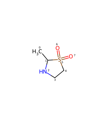 CC1NCCS1(=O)=O